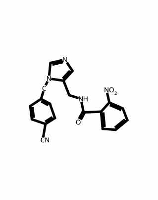 N#Cc1ccc(Cn2cncc2CNC(=O)c2ccccc2[N+](=O)[O-])cc1